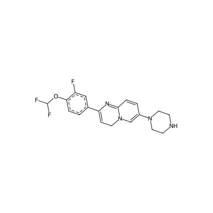 Fc1cc(C2=CCN3C=C(N4CCNCC4)C=CC3=N2)ccc1OC(F)F